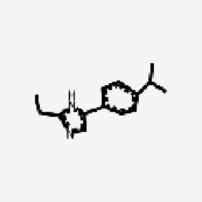 CCc1ncc(-c2ccc(C(C)C)cc2)[nH]1